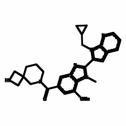 COc1cc(C(=O)N2CCCC3(CNC3)C2)cc2nc(-c3cc4cccnc4n3CC3CC3)n(C)c12